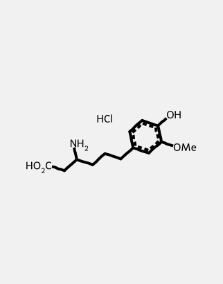 COc1cc(CCCC(N)CC(=O)O)ccc1O.Cl